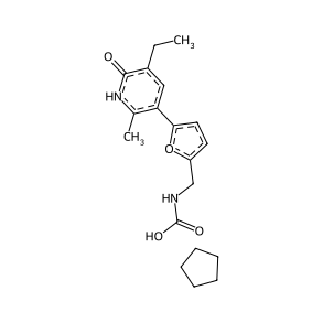 C1CCCC1.CCc1cc(-c2ccc(CNC(=O)O)o2)c(C)[nH]c1=O